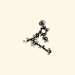 CC(C)[C@H](NC(=O)CCCCCNC(=O)CCCCCN1C(=O)C=CC1=O)C(=O)N[C@@H](CCCNC(N)=O)C(=O)Nc1ccc(CSP2(=O)OC[C@H]3O[C@@H](n4cnc5c(N)ncnc54)[C@H](F)[C@@H]3OP(=O)(S)OC[C@H]3O[C@@H](n4cnc5c(O)ncnc54)[C@H](F)[C@@H]3O2)cc1